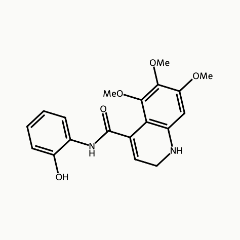 COc1cc2c(c(OC)c1OC)C(C(=O)Nc1ccccc1O)=CCN2